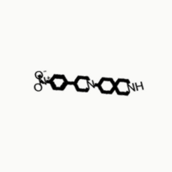 O=[N+]([O-])c1ccc(C2CCN(C3CCC4(CCNCC4)CC3)CC2)cc1